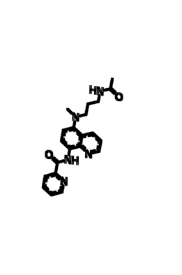 CC(=O)NCCCN(C)c1ccc(NC(=O)c2ccccn2)c2ncccc12